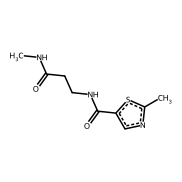 CNC(=O)CCNC(=O)c1cnc(C)s1